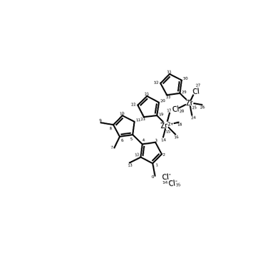 CC1=CCC(C2=C(C)C(C)=CC2)=C1C.[CH3][Zr+2]([CH3])([CH3])([CH3])[C]1=CC=CC1.[CH3][Zr]([CH3])([Cl])([Cl])[C]1=CC=CC1.[Cl-].[Cl-]